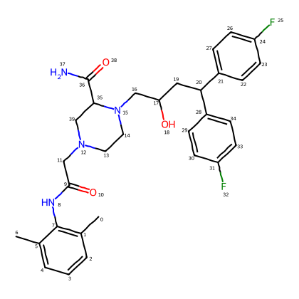 Cc1cccc(C)c1NC(=O)CN1CCN(CC(O)CC(c2ccc(F)cc2)c2ccc(F)cc2)C(C(N)=O)C1